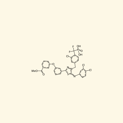 COC(=O)c1cccc(Oc2cccc(-c3nn(Cc4ccc(C(F)(F)P(=O)(O)O)c(Cl)c4)/c(=N\c4ccc(Cl)c(Cl)c4)s3)c2)c1